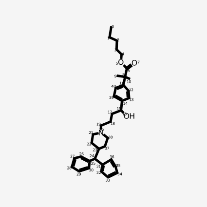 CCCCCOC(=O)C(C)(C)c1ccc(C(O)CCCN2CCC(C(c3ccccc3)c3ccccc3)CC2)cc1